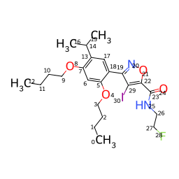 CCCCOc1cc(OCCCC)c(C(C)C)cc1-c1noc(C(=O)NCCF)c1I